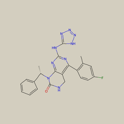 Cc1cc(F)ccc1-c1nc(Nc2nnn[nH]2)nc2c1CNC(=O)N2[C@@H](C)c1ccccc1